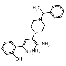 CC(c1ccccc1)N1CCN(C(/C=C(\N)c2ccccc2O)=C(N)N)CC1